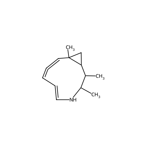 CC1N/C=C/C=C=CC2(C)CC2C1C